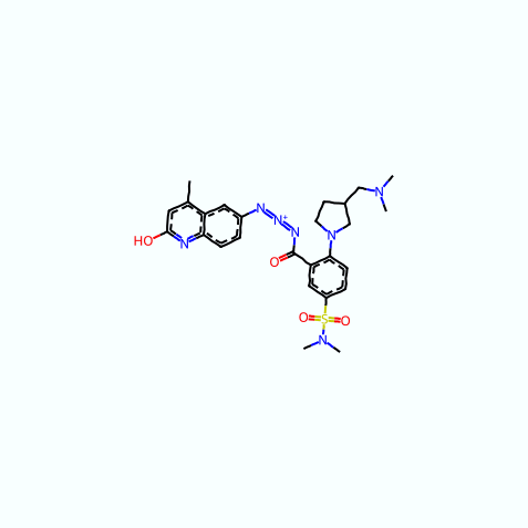 Cc1cc(O)nc2ccc(N=[N+]=NC(=O)c3cc(S(=O)(=O)N(C)C)ccc3N3CCC(CN(C)C)C3)cc12